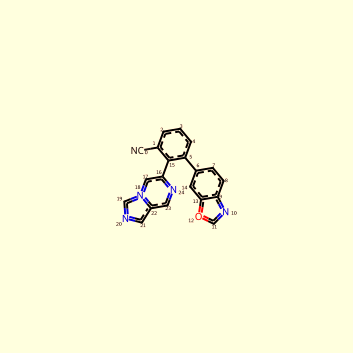 N#Cc1cccc(-c2ccc3ncoc3c2)c1-c1cn2cncc2cn1